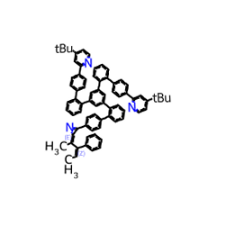 C/C=C(\C(C)=C1N=C\1c1ccc(-c2ccccc2-c2cc(-c3ccccc3-c3ccc(-c4cc(C(C)(C)C)ccn4)cc3)cc(-c3ccccc3-c3ccc(-c4cc(C(C)(C)C)ccn4)cc3)c2)cc1)c1ccccc1